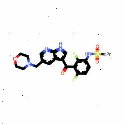 CCCS(=O)(=O)Nc1ccc(F)c(C(=O)c2c[nH]c3ncc(CN4CCOCC4)cc23)c1F